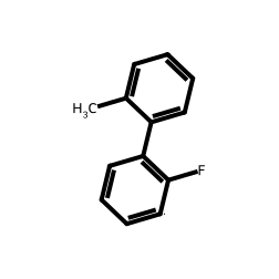 Cc1ccccc1-c1ccc[c]c1F